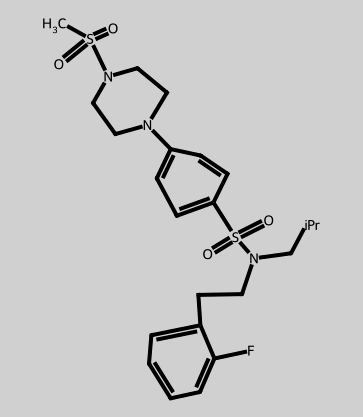 CC(C)CN(CCc1ccccc1F)S(=O)(=O)c1ccc(N2CCN(S(C)(=O)=O)CC2)cc1